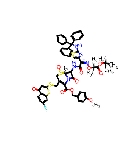 COc1ccc(COC(=O)C2=C(CSc3cc(=O)c4ccc(F)cc4s3)C[S+]([O-])[C@H]3C(NC(=O)/C(=N\OC(C)(C)C(=O)OC(C)(C)C)c4csc(NC(c5ccccc5)(c5ccccc5)c5ccccc5)n4)C(=O)N23)cc1